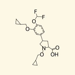 O=C(O)C1CC(c2ccc(OC(F)F)c(OCC3CC3)c2)CN1OCC1CC1